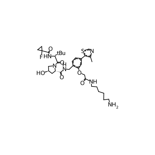 Cc1ncsc1-c1ccc(CNC(=O)[C@@H]2C[C@@H](O)CN2C(=O)[C@@H](NC(=O)C2(F)CC2)C(C)(C)C)c(OCC(=O)NCCCCCCN)c1